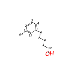 [CH2]c1cccc(CCCCCO)c1